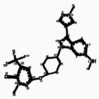 CNc1cc2c(cn1)c(-c1cnn(C)c1)nn2C1CCC(Oc2cc(C(F)(F)F)c(=O)n(C)n2)CC1